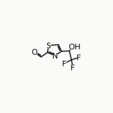 O=Cc1nc(C(O)C(F)(F)F)cs1